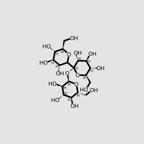 OC[C@H]1O[C@H](O[C@@]2(C3O[C@H](CO)[C@@H](O)[C@H](O)[C@H]3O)O[C@H](CO)[C@@H](O)[C@H](O)[C@H]2O)[C@H](O)[C@@H](O)[C@@H]1O